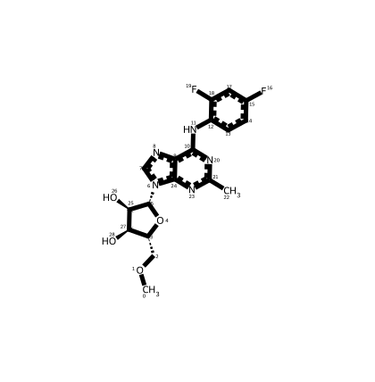 COC[C@H]1O[C@@H](n2cnc3c(Nc4ccc(F)cc4F)nc(C)nc32)[C@H](O)[C@@H]1O